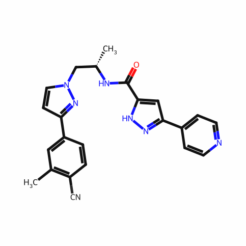 Cc1cc(-c2ccn(C[C@H](C)NC(=O)c3cc(-c4ccncc4)n[nH]3)n2)ccc1C#N